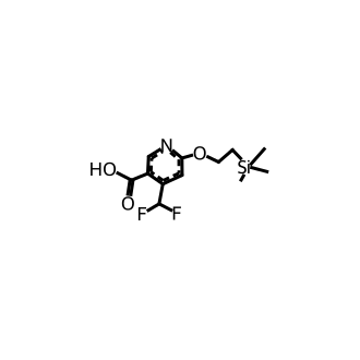 C[Si](C)(C)CCOc1cc(C(F)F)c(C(=O)O)cn1